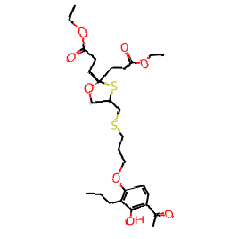 CCCc1c(OCCCSCC2COC(CCC(=O)OCC)(CCC(=O)OCC)S2)ccc(C(C)=O)c1O